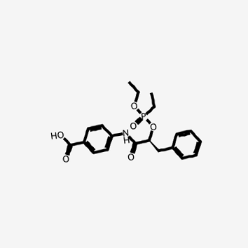 CCOP(=O)(CC)O[C@@H](Cc1ccccc1)C(=O)Nc1ccc(C(=O)O)cc1